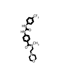 CN(CCN1CCOCC1)C(=O)c1ccc(NC(=O)Nc2ccc(C(F)(F)F)cc2)cc1